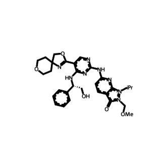 COCn1c(=O)c2ccc(Nc3ncc(C4=NC5(CCOCC5)CO4)c(N[C@H](CO)c4ccccc4)n3)nc2n1C(C)C